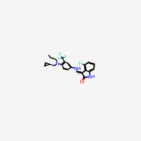 CCCN(CC1CC1)c1ccc(N/C=C2/C(=O)Nc3cccc(F)c32)cc1C(F)(F)F